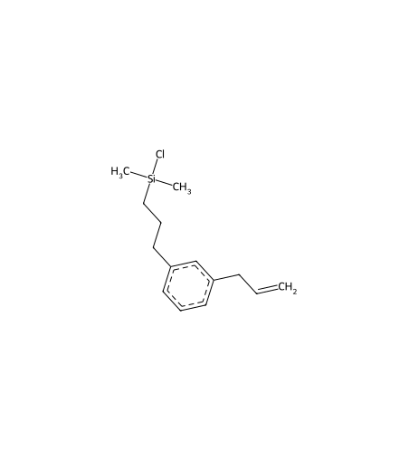 C=CCc1cccc(CCC[Si](C)(C)Cl)c1